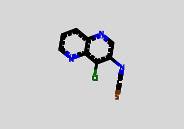 S=C=Nc1cnc2cccnc2c1Cl